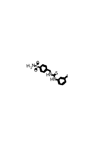 NS(=O)(=O)c1ccc(CNC(=S)Nc2cccc(I)c2)cc1